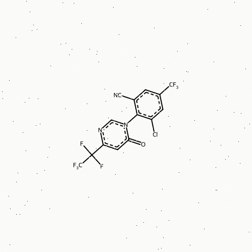 N#Cc1cc(C(F)(F)F)cc(Cl)c1-n1cnc(C(F)(F)C(F)(F)F)cc1=O